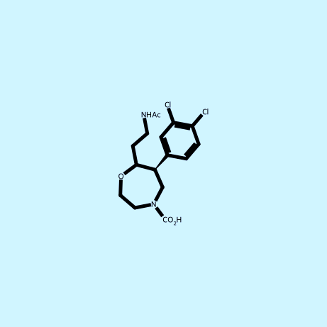 CC(=O)NCCC1OCCN(C(=O)O)C[C@@H]1c1ccc(Cl)c(Cl)c1